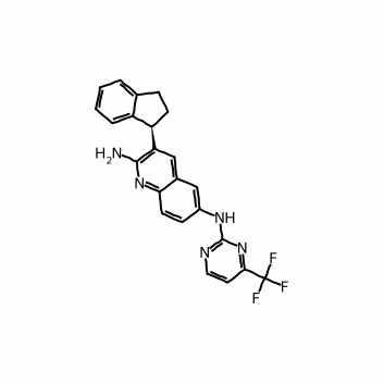 Nc1nc2ccc(Nc3nccc(C(F)(F)F)n3)cc2cc1[C@@H]1CCc2ccccc21